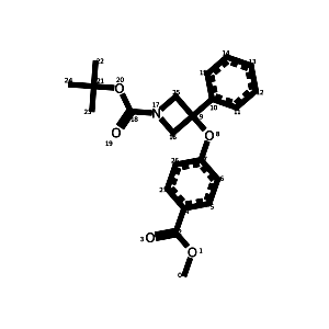 COC(=O)c1ccc(OC2(c3ccccc3)CN(C(=O)OC(C)(C)C)C2)cc1